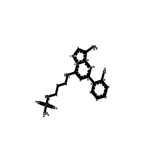 Bc1cnn2c(NCCCNS(C)(=O)=O)cc(-c3ccccc3Cl)nc12